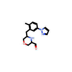 Cc1ccc(-n2cccn2)cc1CC1COCC(C=O)N1